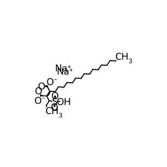 CCCCCCCCCCCCCCCC/C(C(=O)[O-])=C(/C(=O)[O-])C(CC)S(=O)(=O)O.[Na+].[Na+]